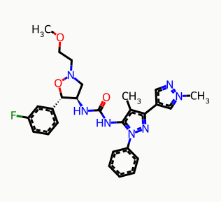 COCCN1C[C@@H](NC(=O)Nc2c(C)c(-c3cnn(C)c3)nn2-c2ccccc2)[C@H](c2cccc(F)c2)O1